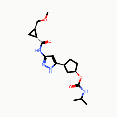 COC[C@@H]1C[C@H]1C(=O)Nc1cc([C@H]2CC[C@@H](OC(=O)NC(C)C)C2)[nH]n1